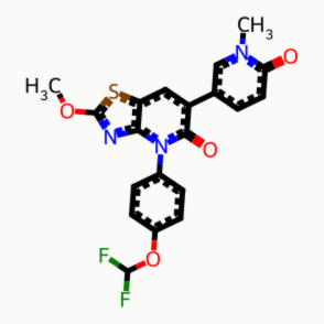 COc1nc2c(cc(-c3ccc(=O)n(C)c3)c(=O)n2-c2ccc(OC(F)F)cc2)s1